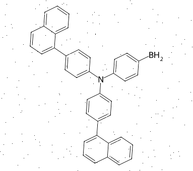 Bc1ccc(N(c2ccc(-c3cccc4ccccc34)cc2)c2ccc(-c3cccc4ccccc34)cc2)cc1